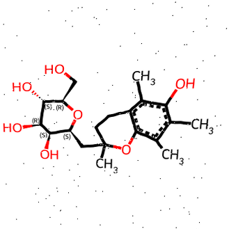 Cc1c(C)c2c(c(C)c1O)CCC(C)(C[C@@H]1O[C@H](CO)[C@@H](O)[C@H](O)[C@@H]1O)O2